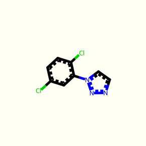 Clc1ccc(Cl)c(-n2ccnn2)c1